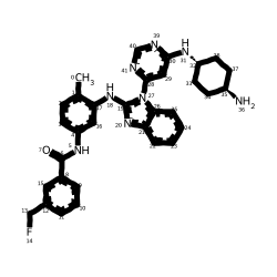 Cc1ccc(NC(=O)c2cccc(CF)c2)cc1Nc1nc2ccccc2n1-c1cc(N[C@H]2CC[C@H](N)CC2)ncn1